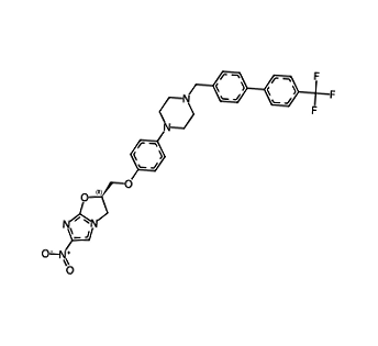 O=[N+]([O-])c1cn2c(n1)O[C@@H](COc1ccc(N3CCN(Cc4ccc(-c5ccc(C(F)(F)F)cc5)cc4)CC3)cc1)C2